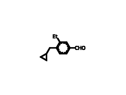 CCc1cc(C=O)ccc1CC1CC1